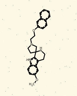 COc1ccc2[nH]c3c(c2c1)CCNC31CCN(CCOc2ccc3ccccc3c2)C1